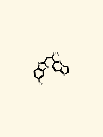 CC(C)c1ccc2nc(CC(C)c3ccc4nccn4n3)[nH]c2c1